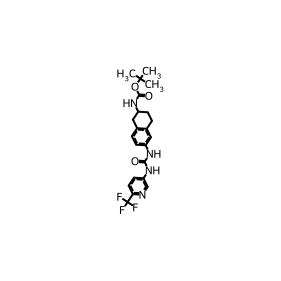 CC(C)(C)OC(=O)NC1CCc2cc(NC(=O)Nc3ccc(C(F)(F)F)nc3)ccc2C1